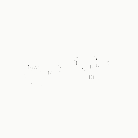 CNC(=O)c1cc(N2CCN(CCn3ncc4c3nc(N)n3nc(-c5ccco5)nc43)CC2)c(F)cc1F